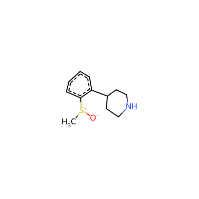 C[S+]([O-])c1ccccc1C1CCNCC1